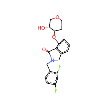 O=C1c2c(cccc2O[C@@H]2CCOC[C@H]2O)CN1Cc1ccc(F)cc1F